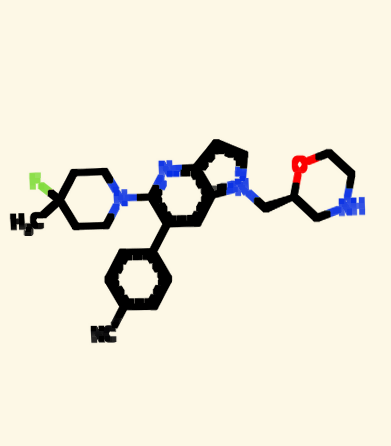 CC1(F)CCN(c2nc3ccn(C[C@@H]4CNCCO4)c3cc2-c2ccc(C#N)cc2)CC1